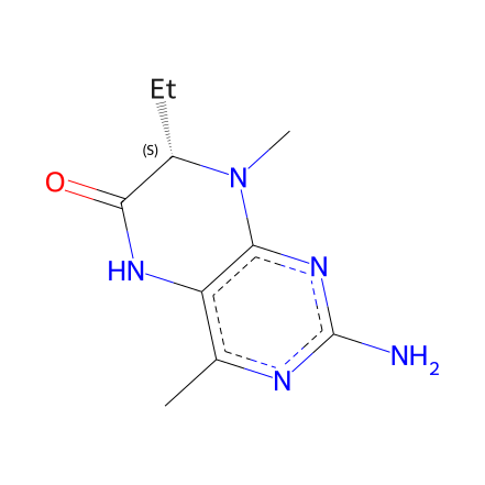 CC[C@H]1C(=O)Nc2c(C)nc(N)nc2N1C